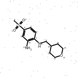 CS(=O)(=O)c1ccc(NCC2CCOCC2)c(N)c1